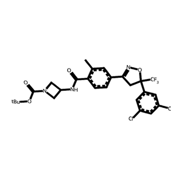 Cc1cc(C2=NOC(c3cc(Cl)cc(Cl)c3)(C(F)(F)F)C2)ccc1C(=O)NC1CN(C(=O)OC(C)(C)C)C1